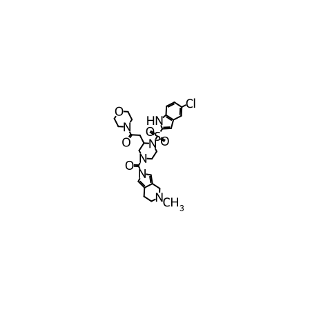 CN1CCc2cn(C(=O)N3CCN(S(=O)(=O)c4cc5cc(Cl)ccc5[nH]4)C(CC(=O)N4CCOCC4)C3)cc2C1